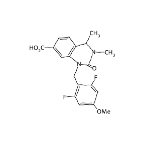 COc1cc(F)c(CN2C(=O)N(C)C(C)c3ccc(C(=O)O)cc32)c(F)c1